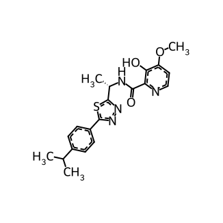 COc1ccnc(C(=O)N[C@@H](C)c2nnc(-c3ccc(C(C)C)cc3)s2)c1O